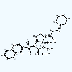 CCC[C@H]1C(=O)N(S(=O)(=O)c2ccc3ccccc3c2)C2=CCN(C(=O)CCN3CCCCC3)[C@@H]21.Cl